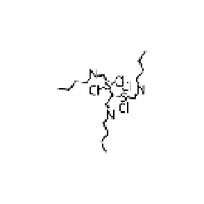 CCCC/N=C\S(Cl)(Cl)C(/C=N/CCCC)S(Cl)(Cl)/C=N\CCCC